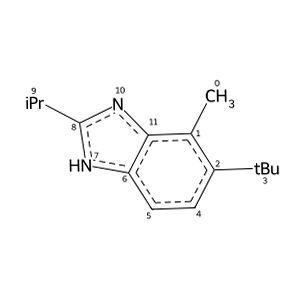 Cc1c(C(C)(C)C)ccc2[nH]c(C(C)C)nc12